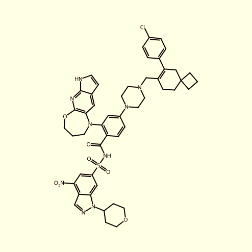 O=C(NS(=O)(=O)c1cc([N+](=O)[O-])c2cnn(C3CCOCC3)c2c1)c1ccc(N2CCN(CC3=C(c4ccc(Cl)cc4)CC4(CCC4)CC3)CC2)cc1N1CCCOc2nc3[nH]ccc3cc21